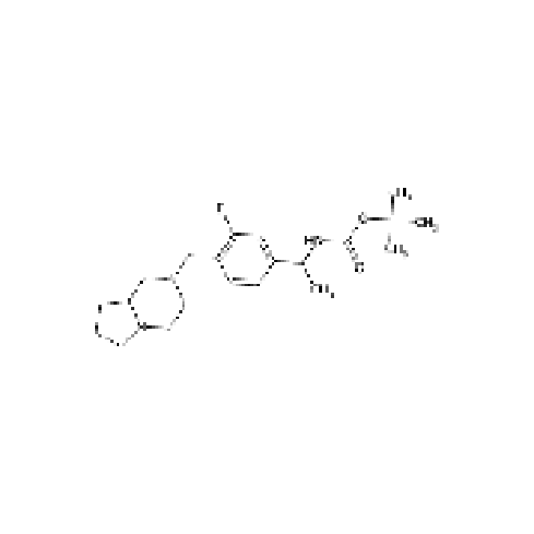 CC(NC(=O)OC(C)(C)C)c1ccc(CN2CCN3CCCC3C2)c(F)c1